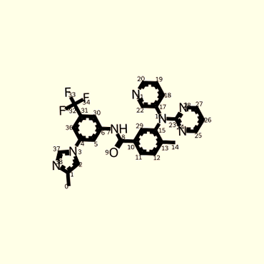 Cc1cn(-c2cc(NC(=O)c3ccc(C)c(N(c4cccnc4)c4ncccn4)c3)cc(C(F)(F)F)c2)cn1